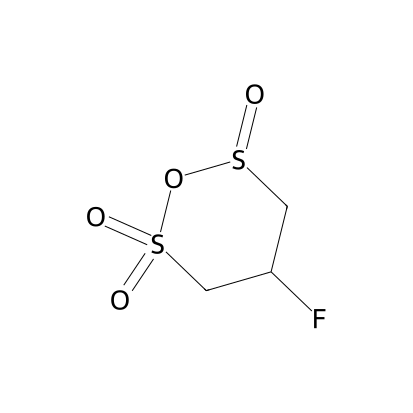 O=S1CC(F)CS(=O)(=O)O1